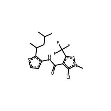 CC(C)CC(C)c1sccc1NC(=O)c1c(C(F)(F)F)nn(C)c1Cl